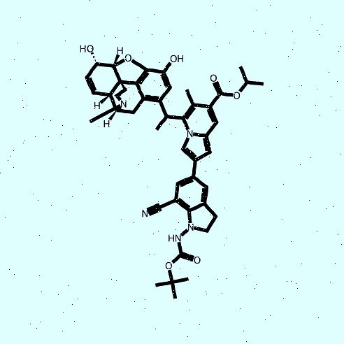 Cc1c(C(=O)OC(C)C)cc2cc(-c3cc(C#N)c4c(c3)CCN4NC(=O)OC(C)(C)C)cn2c1C(C)c1cc(O)c2c3c1C[C@@H]1[C@@H]4C=C[C@H](O)[C@H](O2)[C@]34CCN1C